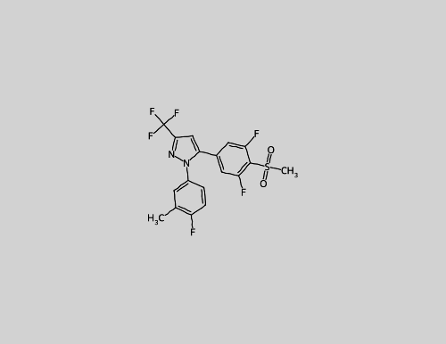 Cc1cc(-n2nc(C(F)(F)F)cc2-c2cc(F)c(S(C)(=O)=O)c(F)c2)ccc1F